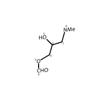 CNCC(O)CO[C]=O